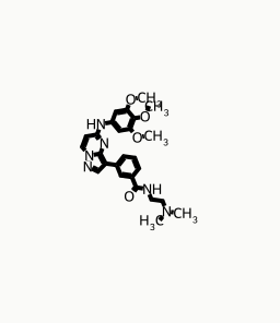 COc1cc(Nc2ccn3ncc(-c4cccc(C(=O)NCCN(C)C)c4)c3n2)cc(OC)c1OC